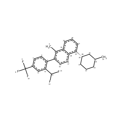 Cc1c(-c2ccc(C(F)(F)F)cc2C(F)F)nnc2c([C@H]3CCCN(C)C3)cccc12